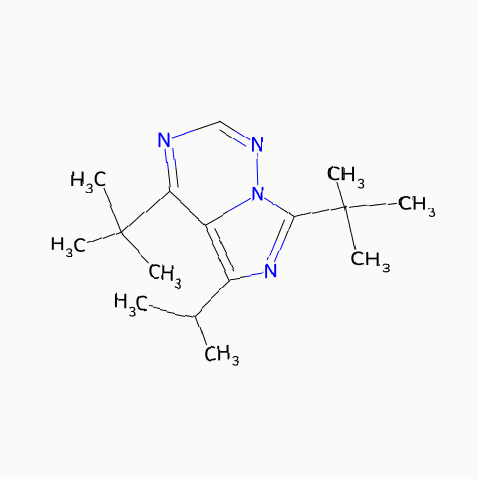 CC(C)c1nc(C(C)(C)C)n2ncnc(C(C)(C)C)c12